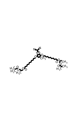 C=C(C)C(=O)OCC(C)COC(=O)CCCCCCCCCCOc1cc(C)c(OCCCCCCCCCCC(=O)OC(CC)COC(=O)C(=C)C)c2c1SC(=C(C#N)C#N)S2